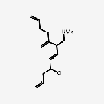 C=CCCC(=C)C(/C=C/C(Cl)CC=C)CNC